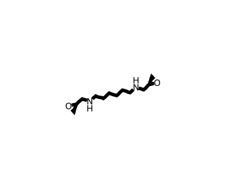 C(CCCNCC1CO1)CCNCC1CO1